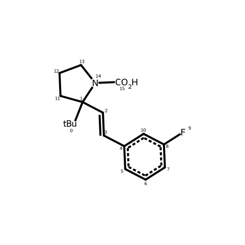 CC(C)(C)C1(C=Cc2cccc(F)c2)CCCN1C(=O)O